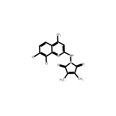 CC1=C(C)C(=O)N(Nc2cc(C(F)(F)F)c3ccc(Cl)c(Cl)c3n2)C1=O